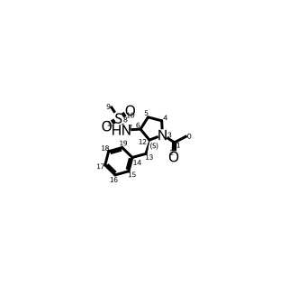 CC(=O)N1CCC(NS(C)(=O)=O)[C@@H]1Cc1ccccc1